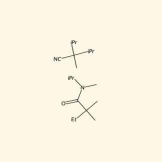 CC(C)C(C)(C#N)C(C)C.CCC(C)(C)C(=O)N(C)C(C)C